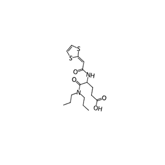 CCCN(CCC)C(=O)C(CCC(=O)O)NC(=O)C=C1SC=CS1